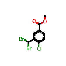 COC(=O)c1ccc(Cl)c(C(Br)Br)c1